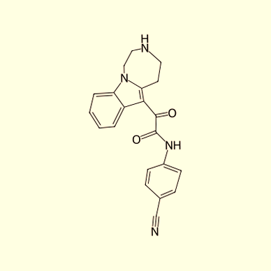 N#Cc1ccc(NC(=O)C(=O)c2c3n(c4ccccc24)CCNCC3)cc1